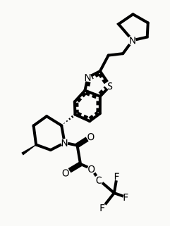 C[C@H]1CC[C@H](c2ccc3sc(CCN4CCCC4)nc3c2)N(C(=O)C(=O)OCC(F)(F)F)C1